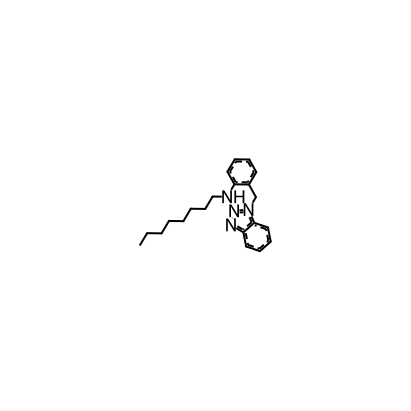 CCCCCCCCNc1ccccc1Cn1nnc2ccccc21